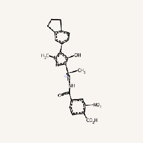 C/C(=N\NC(=O)c1ccc(C(=O)O)c([N+](=O)[O-])c1)c1nn(C)c(-c2ccc3c(c2)CCC3)c1O